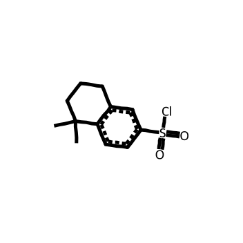 CC1(C)CCCc2cc(S(=O)(=O)Cl)ccc21